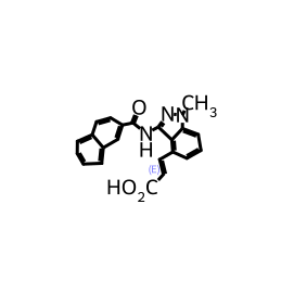 Cn1nc(NC(=O)c2ccc3ccccc3c2)c2c(/C=C/C(=O)O)cccc21